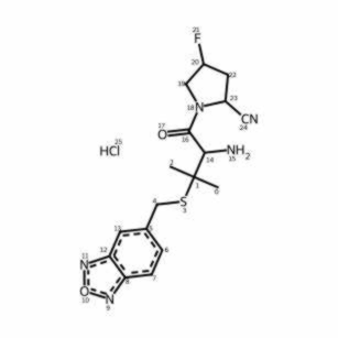 CC(C)(SCc1ccc2nonc2c1)C(N)C(=O)N1CC(F)CC1C#N.Cl